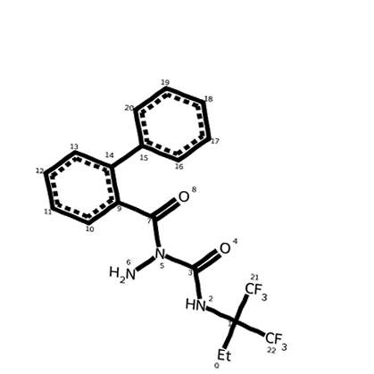 CCC(NC(=O)N(N)C(=O)c1ccccc1-c1ccccc1)(C(F)(F)F)C(F)(F)F